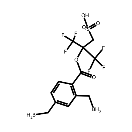 BCc1ccc(C(=O)OC(CS(=O)(=O)O)(C(F)(F)F)C(F)(F)F)c(CB)c1